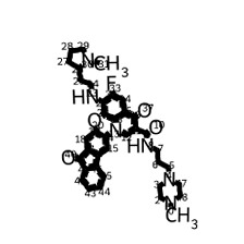 CN1CCN(CCCNC(=O)c2cn3c4cc5c(cc4oc4c(NCCC6CCCN6C)c(F)cc(c2=O)c43)c(=O)c2ccccc25)CC1